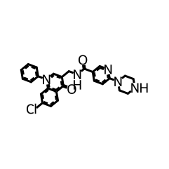 O=C(NCc1cn(-c2ccccc2)c2cc(Cl)ccc2c1=O)c1ccc(N2CCNCC2)nc1